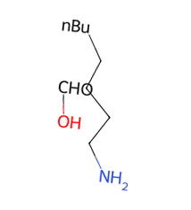 CCCCCCCCN.O=CO